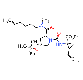 C=CCCCCN(C)C(=O)[C@@H]1C[C@@H](O[Si](C)(C)C(C)(C)C)CN1C(=O)N[C@]1(C(=O)OCC)C[C@H]1C=C